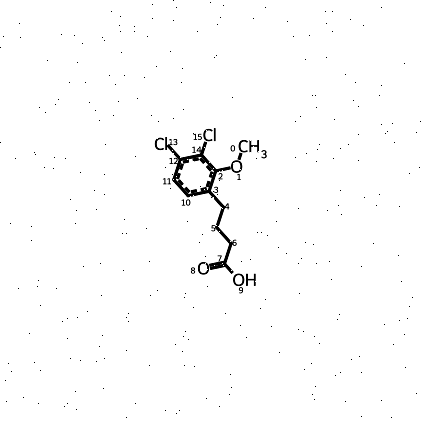 COc1c(CCCC(=O)O)ccc(Cl)c1Cl